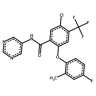 Cc1cc(F)ccc1Oc1cc(C(F)(F)F)c(Cl)cc1C(=O)Nc1cncnc1